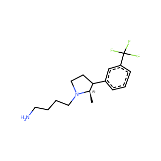 C[C@@H]1C(c2cccc(C(F)(F)F)c2)CCN1CCCCN